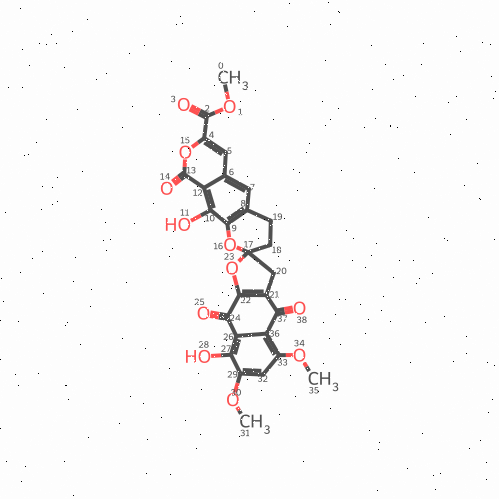 COC(=O)c1cc2cc3c(c(O)c2c(=O)o1)OC1(CC3)CC2=C(O1)C(=O)c1c(O)c(OC)cc(OC)c1C2=O